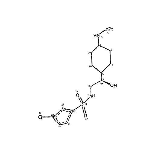 CCCNC1CCC([C@@H](O)CNS(=O)(=O)c2ccc(Cl)s2)CC1